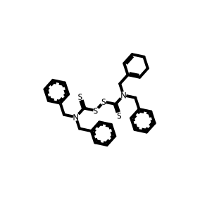 S=C(SSC(=S)N(Cc1ccccc1)Cc1ccccc1)N(CC1=CCCC=C1)Cc1ccccc1